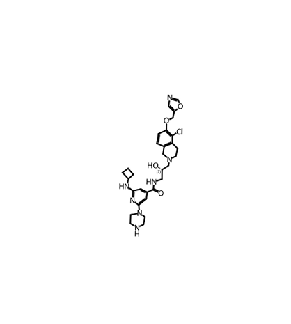 O=C(NC[C@H](O)CN1CCc2c(ccc(OCc3cnco3)c2Cl)C1)c1cc(NC2CCC2)nc(N2CCNCC2)c1